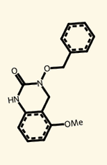 COc1cccc2c1CN(OCc1ccccc1)C(=O)N2